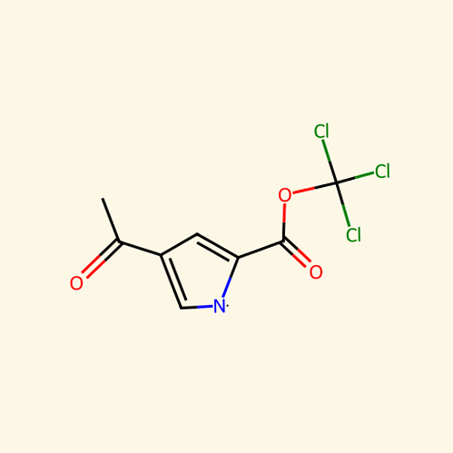 CC(=O)C1=C[N]C(C(=O)OC(Cl)(Cl)Cl)=C1